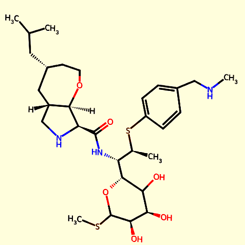 CNCc1ccc(S[C@@H](C)[C@@H](NC(=O)[C@H]2NC[C@@H]3C[C@H](CC(C)C)CCO[C@H]32)[C@H]2OC(SC)[C@H](O)[C@H](O)C2O)cc1